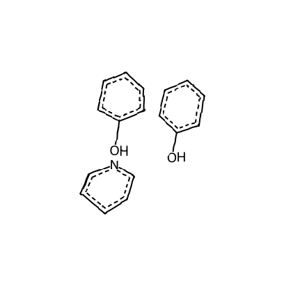 Oc1ccccc1.Oc1ccccc1.c1ccncc1